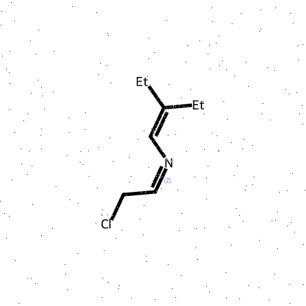 CCC(=C/N=C\CCl)CC